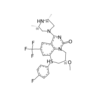 CO[C@H]1Cn2c(=O)nc(N3C[C@@H](C)N[C@@H](C)C3)c3cc(C(F)(F)F)cc(c32)[SH](c2ccc(F)cc2)C1